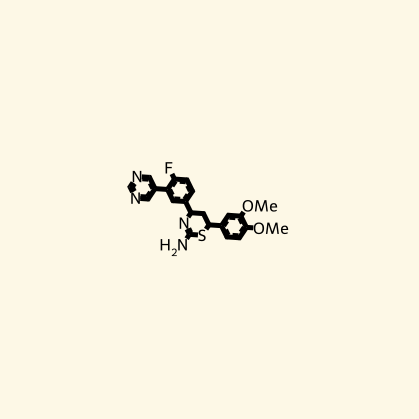 COc1ccc(C2CC(c3ccc(F)c(-c4cncnc4)c3)N=C(N)S2)cc1OC